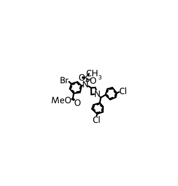 COC(=O)c1cc(Br)cc(N(C2CN(C(c3ccc(Cl)cc3)c3ccc(Cl)cc3)C2)S(C)(=O)=O)c1